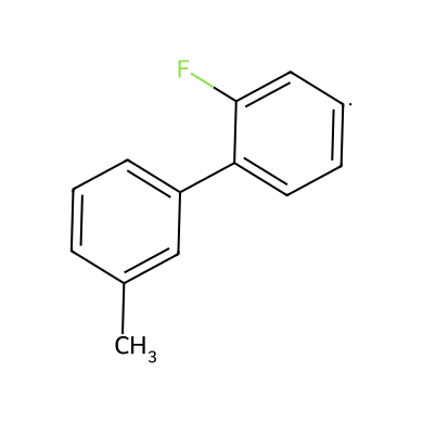 Cc1cccc(-c2cc[c]cc2F)c1